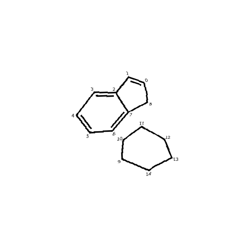 C1=Cc2ccccc2C1.C1CCCCC1